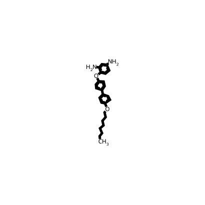 CCCCCCCCOc1ccc(-c2ccc(Oc3ccc(N)cc3N)cc2)cc1